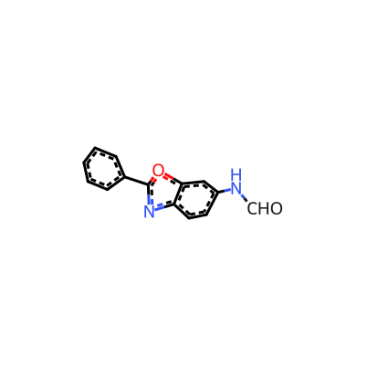 O=CNc1ccc2nc(-c3ccccc3)oc2c1